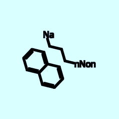 CCCCCCCCCCC[CH2][Na].c1ccc2ccccc2c1